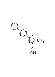 CC1SC(c2ccc(-c3ccccc3)nc2)=NC1CCO